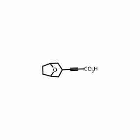 O=C(O)C#CC1CC2CCC(C1)O2